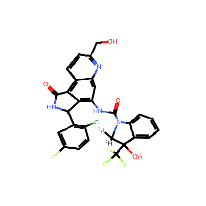 [2H]C1([2H])N(C(=O)Nc2cc3nc(CO)ccc3c3c2C(c2cc(F)ccc2Cl)NC3=O)c2ccccc2C1(O)C(F)(F)F